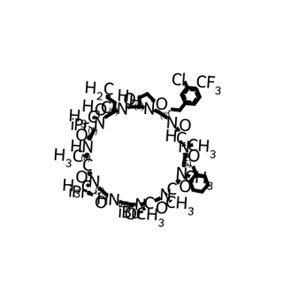 C=CC[C@]1(C)NC(=O)[C@@H]2CCCN2C(=O)[C@H](CCc2ccc(C(F)(F)F)c(Cl)c2)NC(=O)CN(C)C(=O)[C@H](CC2CCCCC2)N(C)C(=O)CN(C)C(=O)CN(C)C(=O)[C@H](C(C)CC)NC(=O)[C@H](CC(C)C)N(C)C(=O)C[C@@H](C)NC(=O)[C@H](C(C)C)N(C)C1=O